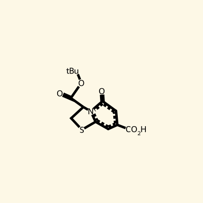 CC(C)(C)OC(=O)C1CSc2cc(C(=O)O)cc(=O)n21